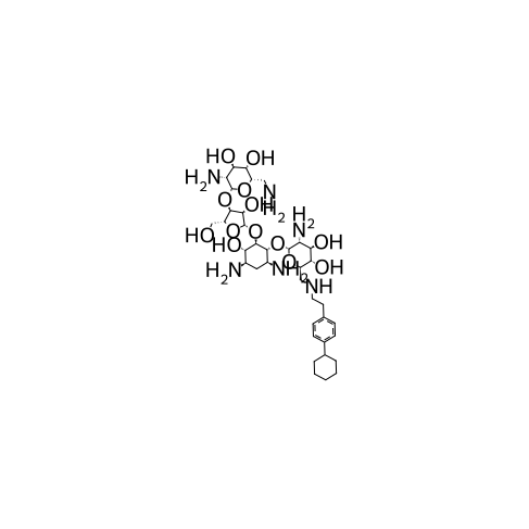 NC[C@@H]1O[C@H](O[C@H]2[C@@H](O)[C@H](O[C@@H]3[C@@H](O)[C@H](N)C[C@H](N)[C@H]3O[C@H]3O[C@H](CNCCc4ccc(C5CCCCC5)cc4)[C@@H](O)[C@H](O)[C@H]3N)O[C@@H]2CO)[C@H](N)[C@@H](O)[C@@H]1O